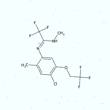 CN/C(=N\c1cc(OCC(F)(F)F)c(Cl)cc1C)C(F)(F)F